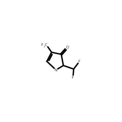 O=C1C(C(F)(F)F)=[C][N]C1C(F)F